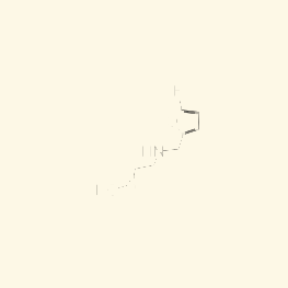 CSCCNCc1ccc(F)o1